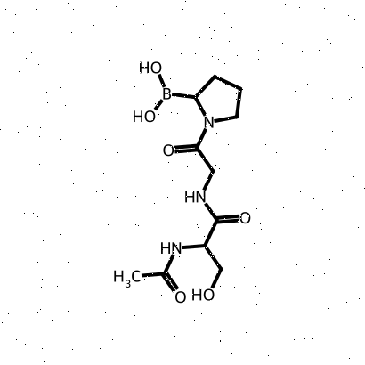 CC(=O)NC(CO)C(=O)NCC(=O)N1CCCC1B(O)O